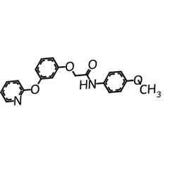 COc1ccc(NC(=O)COc2cccc(Oc3ccccn3)c2)cc1